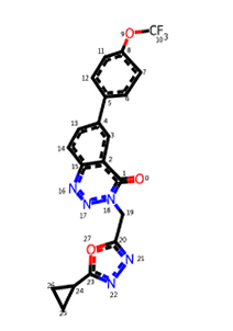 O=c1c2cc(-c3ccc(OC(F)(F)F)cc3)ccc2nnn1Cc1nnc(C2CC2)o1